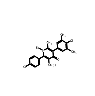 CCn1c(C)c(-c2cc(C)c(Cl)c(C)c2)c(=O)c(C(=O)O)c1-c1ccc(Cl)cc1